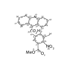 COC(=O)c1cc(C)c(-c2cccc3nc4ccccc4c(C(=O)O)c23)c(C)c1[N+](=O)[O-]